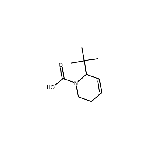 CC(C)(C)C1C=CCCN1C(=O)O